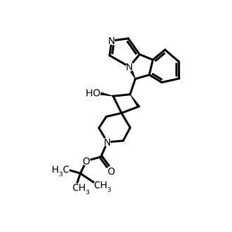 CC(C)(C)OC(=O)N1CCC2(CC1)C[C@H]([C@@H]1c3ccccc3-c3cncn31)[C@@H]2O